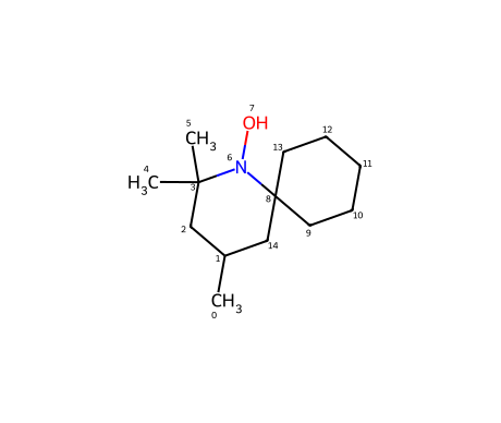 CC1CC(C)(C)N(O)C2(CCCCC2)C1